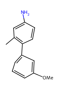 COc1cccc(-c2ccc(N)cc2C)c1